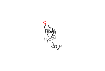 C[C@]12CC[C@H]3[C@@H](C=CC4=CC(=O)CC[C@@]43C)[C@@H]1CC[C@@H]2CCC(=O)O